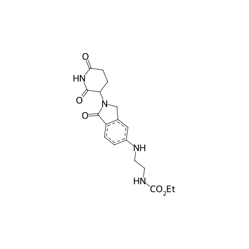 CCOC(=O)NCCNc1ccc2c(c1)CN(C1CCC(=O)NC1=O)C2=O